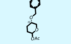 CC(=O)OC1CC[C@H](OCc2ccccc2)CO1